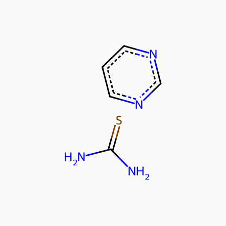 NC(N)=S.c1cncnc1